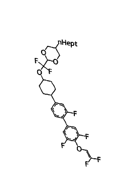 CCCCCCCC1COC(C(F)(F)OC2CCC(c3ccc(-c4cc(F)c(OC=C(F)F)c(F)c4)c(F)c3)CC2)OC1